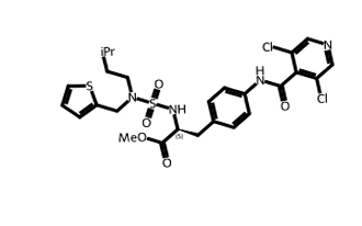 COC(=O)[C@H](Cc1ccc(NC(=O)c2c(Cl)cncc2Cl)cc1)NS(=O)(=O)N(CCC(C)C)Cc1cccs1